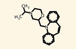 CC(C)N1CCOC(CN2c3ccccc3C=Cc3ccccc32)C1